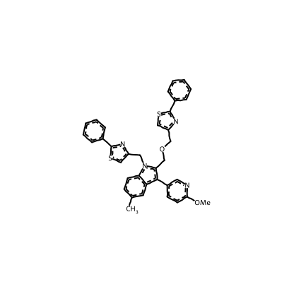 COc1ccc(-c2c(COCc3csc(-c4ccccc4)n3)n(Cc3csc(-c4ccccc4)n3)c3ccc(C)cc23)cn1